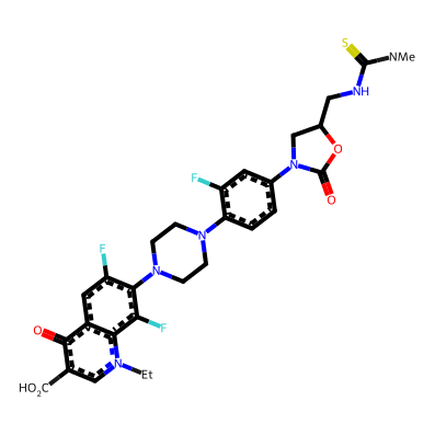 CCn1cc(C(=O)O)c(=O)c2cc(F)c(N3CCN(c4ccc(N5CC(CNC(=S)NC)OC5=O)cc4F)CC3)c(F)c21